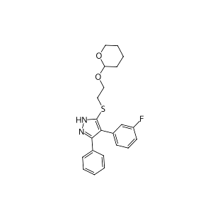 Fc1cccc(-c2c(-c3ccccc3)n[nH]c2SCCOC2CCCCO2)c1